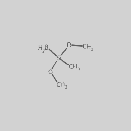 B[Si](C)(OC)OC